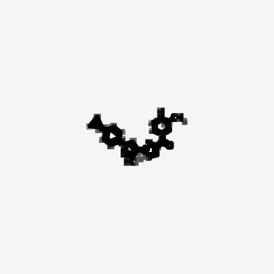 C[C@H]1CN(C(=O)c2csc(-c3cnn(-c4ccc(C5CC5)cc4)c3)n2)CCN1.Cl